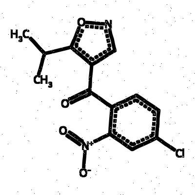 CC(C)c1oncc1C(=O)c1ccc(Cl)cc1[N+](=O)[O-]